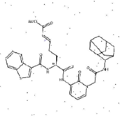 COC(=O)/C=C/CC[C@H](NC(=O)c1csc2ccccc12)C(=O)Nc1cccn(CC(=O)NC2C3CC4CC(C3)CC2C4)c1=O